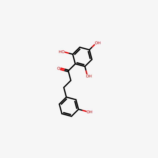 O=C(CCc1cccc(O)c1)c1c(O)cc(O)cc1O